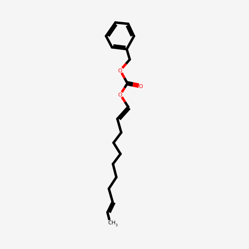 CC=CCCCCCCC=COC(=O)OCc1ccccc1